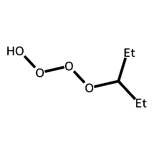 CCC(CC)OOOO